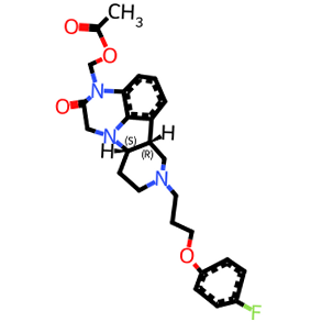 CC(=O)OCN1C(=O)CN2c3c(cccc31)[C@@H]1CN(CCCOc3ccc(F)cc3)CC[C@@H]12